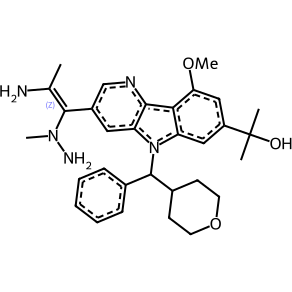 COc1cc(C(C)(C)O)cc2c1c1ncc(/C(=C(\C)N)N(C)N)cc1n2C(c1ccccc1)C1CCOCC1